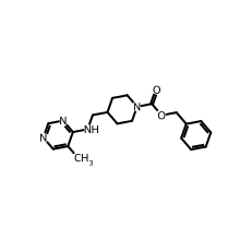 Cc1cncnc1NCC1CCN(C(=O)OCc2ccccc2)CC1